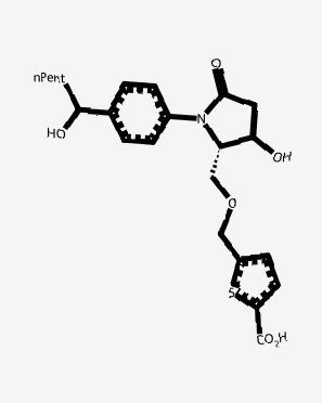 CCCCCC(O)c1ccc(N2C(=O)CC(O)[C@@H]2COCc2ccc(C(=O)O)s2)cc1